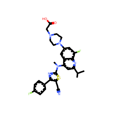 CC(C)c1cc(N(C)c2nc(-c3ccc(F)cc3)c(C#N)s2)c2cc(N3CCN(CC(=O)O)CC3)cc(F)c2n1